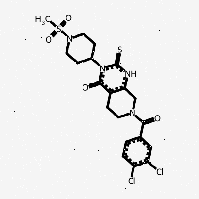 CS(=O)(=O)N1CCC(n2c(=S)[nH]c3c(c2=O)CCN(C(=O)c2ccc(Cl)c(Cl)c2)C3)CC1